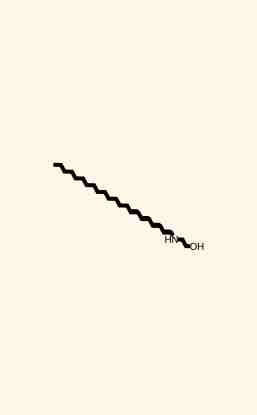 CCCCCCCCCCCCCCC=CC=CC=CC=CNCCO